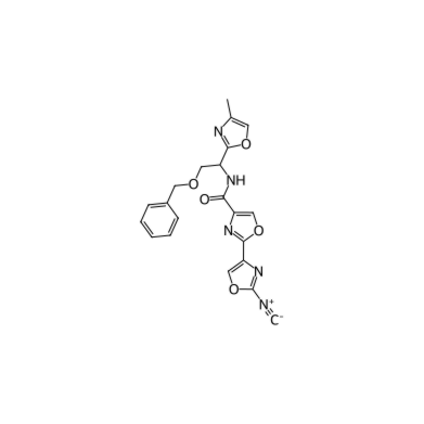 [C-]#[N+]c1nc(-c2nc(C(=O)NC(COCc3ccccc3)c3nc(C)co3)co2)co1